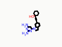 Nc1cc(-n2ccc3ccc(C#CC4(O)CCCCC4)cc32)nc(N)n1